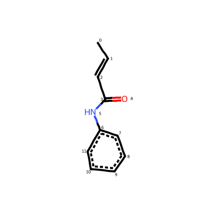 CC=CC(=O)Nc1ccccc1